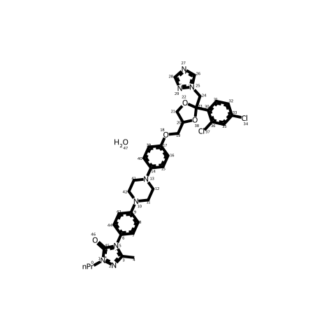 CCCn1nc(C)n(-c2ccc(N3CCN(c4ccc(OCC5COC(Cn6cncn6)(c6ccc(Cl)cc6Cl)O5)cc4)CC3)cc2)c1=O.O